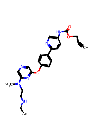 C#CCOC(=O)Nc1ccc(-c2ccc(Oc3cncc(N(C)CCNCC(C)=O)n3)cc2)nc1